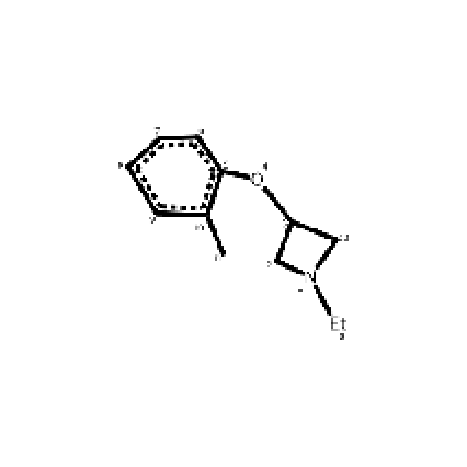 CCN1CC(Oc2cc[c]cc2C)C1